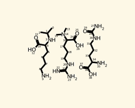 CC(C)NC(CCCCN)C(=O)O.CN(C)C(CCCNC(=N)N)C(=O)O.NC(=O)NCCCC(N)C(=O)O